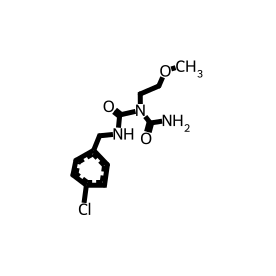 COCCN(C(N)=O)C(=O)NCc1ccc(Cl)cc1